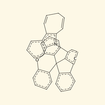 C1=Cc2c(n(-c3cccc4c3C3(c5ccccc5Oc5ccccc53)c3ccccc3-4)c3ccccc23)C=CC1